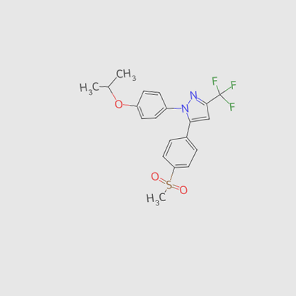 CC(C)Oc1ccc(-n2nc(C(F)(F)F)cc2-c2ccc(S(C)(=O)=O)cc2)cc1